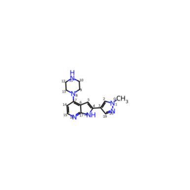 Cn1cc(-c2cc3c(N4CCNCC4)ccnc3[nH]2)cn1